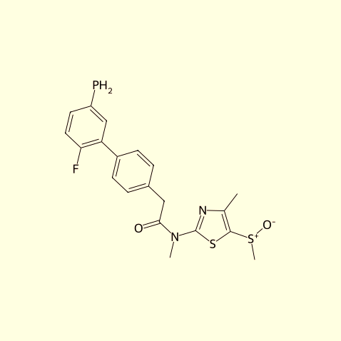 Cc1nc(N(C)C(=O)Cc2ccc(-c3cc(P)ccc3F)cc2)sc1[S+](C)[O-]